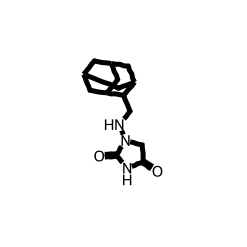 O=C1CN(NCC2C3CC4CC(C3)CC2C4)C(=O)N1